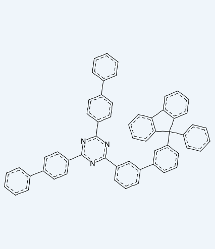 c1ccc(-c2ccc(-c3nc(-c4ccc(-c5ccccc5)cc4)nc(-c4cccc(-c5cccc(C6(c7ccccc7)c7ccccc7-c7ccccc76)c5)c4)n3)cc2)cc1